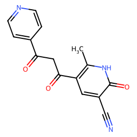 Cc1[nH]c(=O)c(C#N)cc1C(=O)CC(=O)c1ccncc1